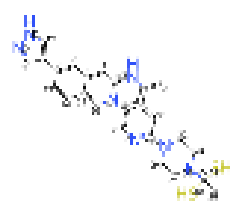 C=C(Nc1cc2cc(-c3cn[nH]c3)ccc2cn1)c1ccnc(N2CCN(C(C)(S)S)CC2)c1